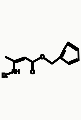 CCN/C(C)=C\C(=O)OCc1ccccc1